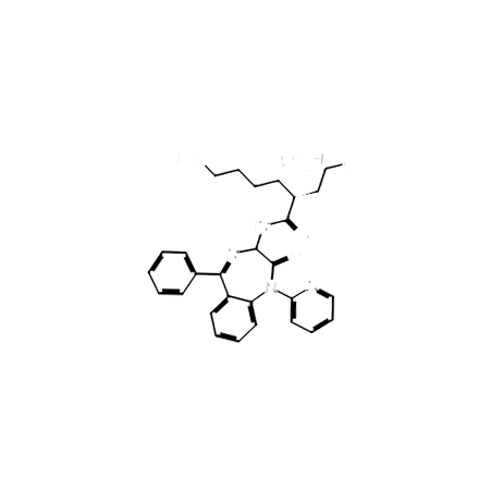 O=C(O)[C@@H](CCCC(F)(F)F)[C@@H](CCC(F)(F)F)C(=O)NC1N=C(c2ccccc2)c2ccccc2N(c2ccccn2)C1=O